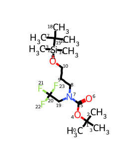 CC(C)(C)OC(=O)N(CCCO[Si](C)(C)C(C)(C)C)CC(F)(F)F